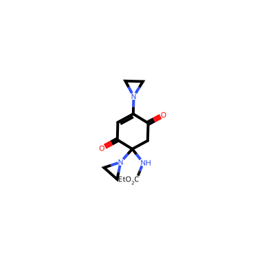 CCOC(=O)NC1(N2CC2)CC(=O)C(N2CC2)=CC1=O